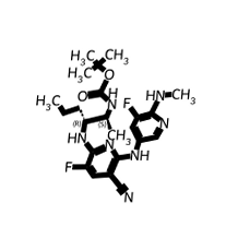 CCC[C@@H](Nc1nc(Nc2cnc(NC)c(F)c2)c(C#N)cc1F)[C@H](C)NC(=O)OC(C)(C)C